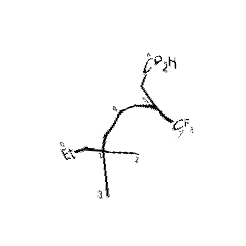 CCC(C)(C)CC(C(=O)O)C(F)(F)F